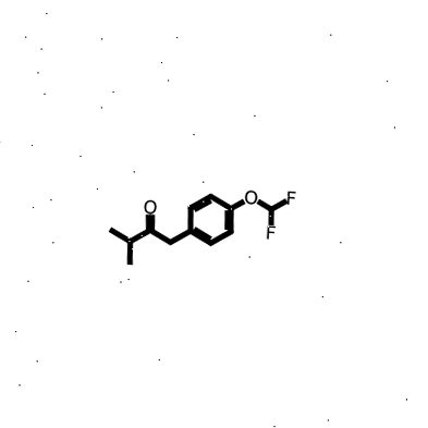 CC(C)C(=O)Cc1ccc(OC(F)F)cc1